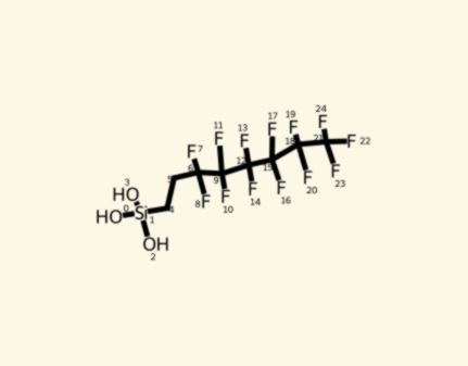 O[Si](O)(O)CCC(F)(F)C(F)(F)C(F)(F)C(F)(F)C(F)(F)C(F)(F)F